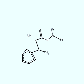 CC(CC(=O)ON(C(C)C)C(C)C)c1ccccc1.[LiH]